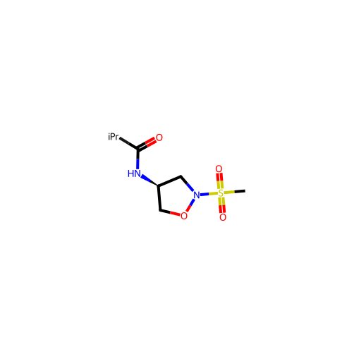 CC(C)C(=O)N[C@@H]1CON(S(C)(=O)=O)C1